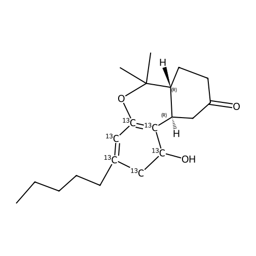 CCCCC[13C]1=[13CH][13C]2=[13C]([C@@H]3CC(=O)CC[C@H]3C(C)(C)O2)[13CH](O)[13CH2]1